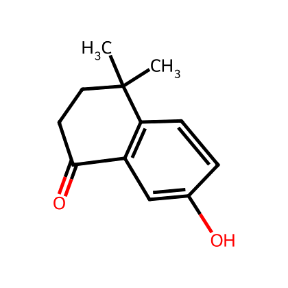 CC1(C)CCC(=O)c2cc(O)ccc21